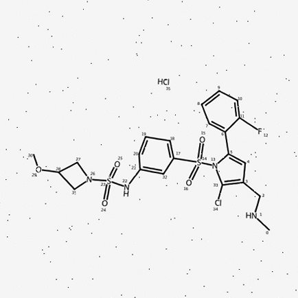 CNCc1cc(-c2ccccc2F)n(S(=O)(=O)c2cccc(NS(=O)(=O)N3CC(OC)C3)c2)c1Cl.Cl